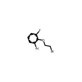 CC(=O)c1cccc(F)c1OCCBr